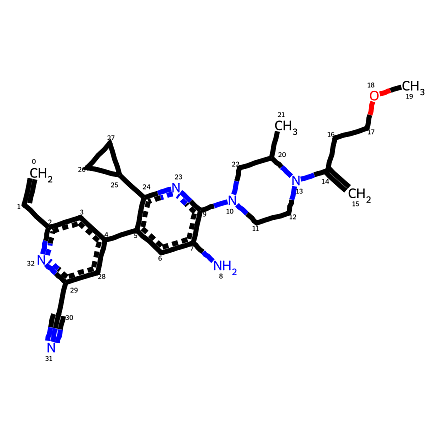 C=Cc1cc(-c2cc(N)c(N3CCN(C(=C)CCOC)C(C)C3)nc2C2CC2)cc(C#N)n1